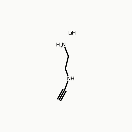 C#CNCCN.[LiH]